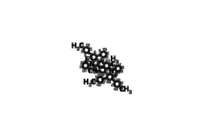 Cc1ccc(-c2cc(-c3ccccc3)cc(N(c3c(C)cccc3F)c3ccc4ccc5c(N(c6cc(-c7ccc(C)cc7)cc(-c7ccc(C)cc7)c6)c6c(C)cccc6F)ccc6ccc3c4c65)c2)cc1